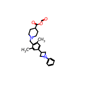 Cc1cc(C2CN(c3ccccc3)C2)cc(C)c1CN1CCC(C(=O)OC=O)CC1